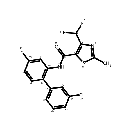 Cc1nc(C(F)F)c(C(=O)Nc2cc(F)ccc2-c2cccc(Cl)c2)s1